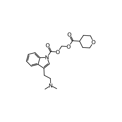 CN(C)CCc1cn(C(=O)OCOC(=O)C2CCOCC2)c2ccccc12